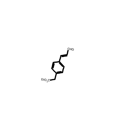 CCOC(=O)Cc1ccc(C=CC=O)cc1